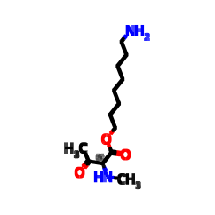 CN[C@@H](C(C)=O)C(=O)OCCCCCCCCN